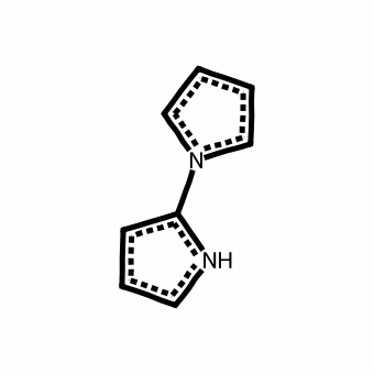 c1c[nH]c(-n2cccc2)c1